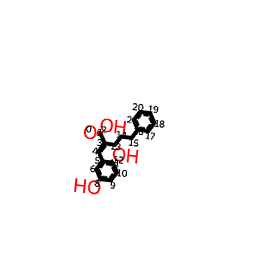 O=C(O)/C(=C/c1cc(O)ccc1O)CCCc1ccccc1